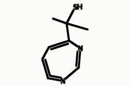 CC(C)(S)C1=CC=C=NC=N1